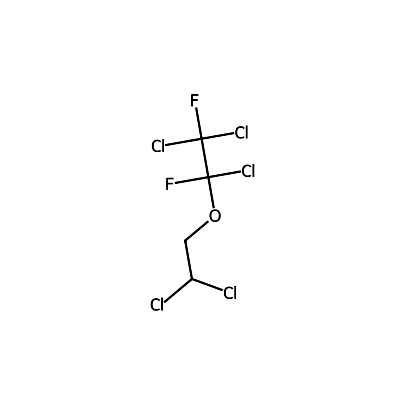 FC(Cl)(Cl)C(F)(Cl)OCC(Cl)Cl